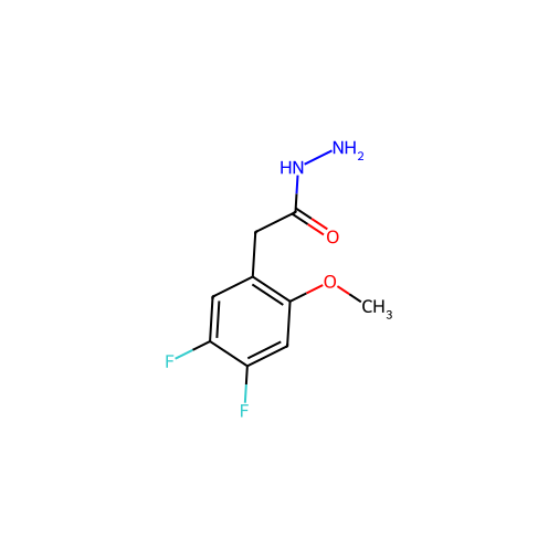 COc1cc(F)c(F)cc1CC(=O)NN